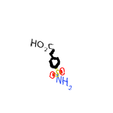 NS(=O)(=O)c1ccc(C=CC(=O)O)cc1